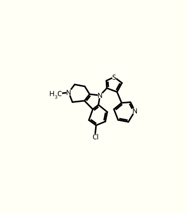 CN1CCc2c(c3cc(Cl)ccc3n2-c2cscc2-c2cccnc2)C1